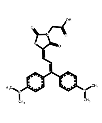 CN(C)c1ccc(C(=C/C=C2/SC(=O)N(CC(=O)O)C2=O)c2ccc(N(C)C)cc2)cc1